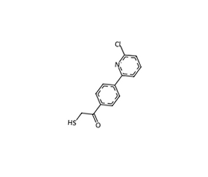 O=C(CS)c1ccc(-c2cccc(Cl)n2)cc1